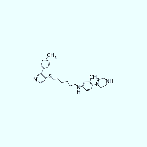 Cc1ccc(-c2cnccc2SCCCCCCNc2ccc(N3CCNCC3)c(C)c2)cc1